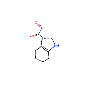 O=NC(=O)c1c[nH]c2c1CCCC2